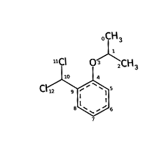 CC(C)Oc1ccccc1C(Cl)Cl